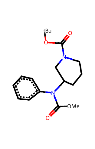 COC(=O)N(c1ccccc1)C1CCCN(C(=O)OC(C)(C)C)C1